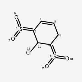 O=S(=O)=C1C=CCC(=S(=O)=O)C1Cl